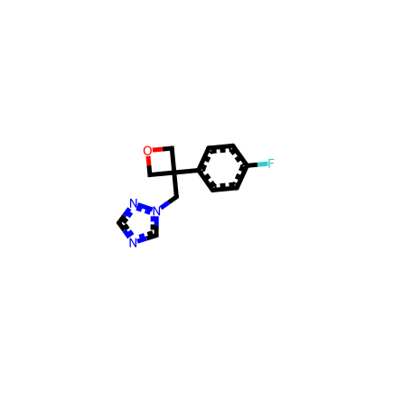 Fc1ccc(C2(Cn3cncn3)COC2)cc1